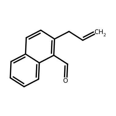 C=CCc1ccc2ccccc2c1C=O